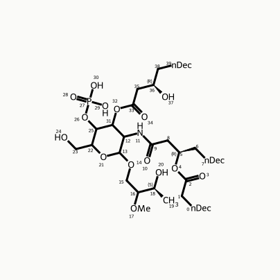 CCCCCCCCCCCC(=O)O[C@H](CCCCCCCCCCC)CC(=O)NC1C(OCC(OC)[C@H](C)O)OC(CO)C(OP(=O)(O)O)C1OC(=O)C[C@H](O)CCCCCCCCCCC